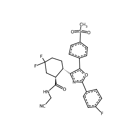 CS(=O)(=O)c1ccc(-c2oc(-c3ccc(F)cc3)nc2[C@H]2CCC(F)(F)C[C@@H]2C(=O)NCC#N)cc1